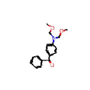 COCN(COC)c1ccc(C(=O)c2ccccc2)cc1